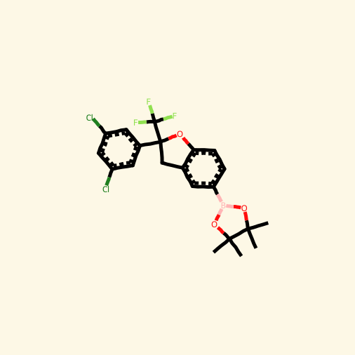 CC1(C)OB(c2ccc3c(c2)CC(c2cc(Cl)cc(Cl)c2)(C(F)(F)F)O3)OC1(C)C